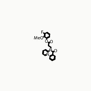 COc1c(F)cccc1OC(=O)CCN(C(=O)C1=CC=C=C=C1)c1ccccn1